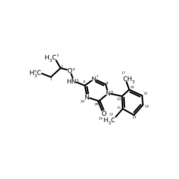 CCC(C)ONc1ncn(-c2c(C)cccc2C)c(=O)n1